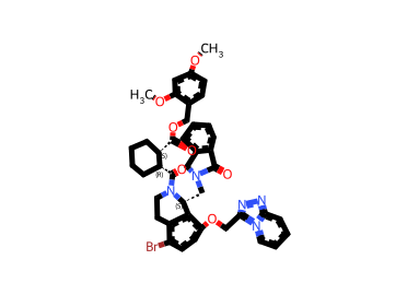 COc1ccc(COC(=O)[C@H]2CCCC[C@H]2C(=O)N2CCc3c(Br)ccc(OCc4nnc5ccccn45)c3[C@H]2CN2Cc3ccccc3C2=O)c(OC)c1